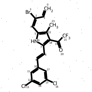 C=C/C(Br)=C\c1[nH]c(/C=C/c2cc(Cl)cc(Cl)c2)c(C(=O)C(F)(F)F)c1C